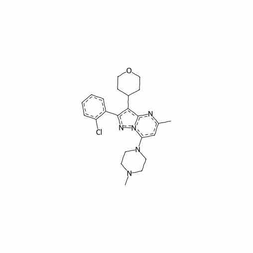 Cc1cc(N2CCN(C)CC2)n2nc(-c3ccccc3Cl)c(C3CCOCC3)c2n1